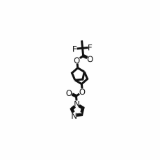 CC(F)(F)C(=O)OC1CC2CC1CC2OC(=O)n1ccnc1